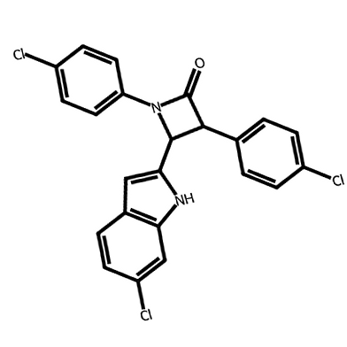 O=C1C(c2ccc(Cl)cc2)C(c2cc3ccc(Cl)cc3[nH]2)N1c1ccc(Cl)cc1